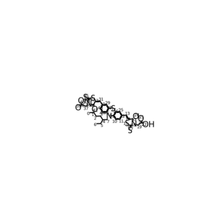 CCCCC(CC)CN1c2ccc(/C=C3\SC(=S)N(CC(=O)O)C3=O)cc2Sc2cc(/C=C3/SC(=S)N(CC(=O)O)C3=O)ccc21